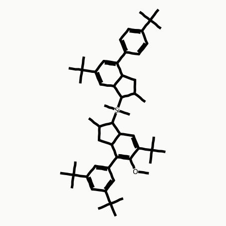 COC1=C(c2cc(C(C)(C)C)cc(C(C)(C)C)c2)C2CC(C)C([Si](C)(C)C3C(C)CC4C(c5ccc(C(C)(C)C)cc5)=CC(C(C)(C)C)=CC43)C2C=C1C(C)(C)C